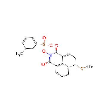 CC(C)Sc1ccc2c3c(cccc13)C(=O)N(OS(=O)(=O)c1cccc(C(F)(F)F)c1)C2=O